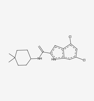 C=C(NC1CCC(C)(C)CC1)c1cc2c(Cl)cc(Cl)cc2[nH]1